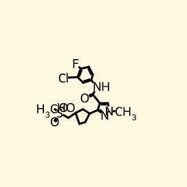 Cn1cc(C(=O)Nc2ccc(F)c(Cl)c2)c(C2CCC(O)(CS(C)(=O)=O)C2)n1